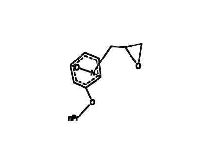 CCCOc1cc2ccc1N(CC1CO1)O2